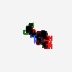 O=C(CCC(NCc1ncc(-c2cc(Cl)ccc2Cl)o1)C(=O)Nc1ccccc1C(=O)O)NCC(O)CO